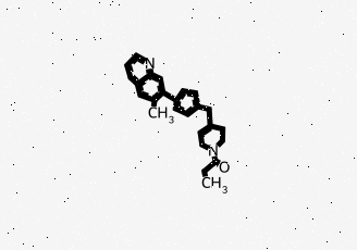 CCC(=O)N1CC=C(Cc2ccc(-c3cc4ncccc4cc3C)cc2)CC1